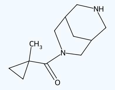 CC1(C(=O)N2CC3CNCC(C3)C2)CC1